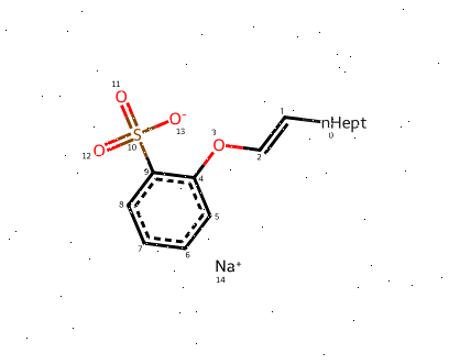 CCCCCCCC=COc1ccccc1S(=O)(=O)[O-].[Na+]